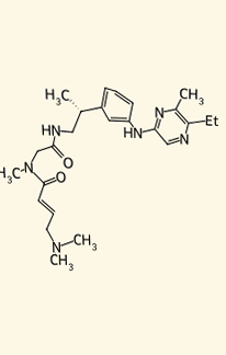 CCc1ncc(Nc2cccc([C@@H](C)CNC(=O)CN(C)C(=O)/C=C/CN(C)C)c2)nc1C